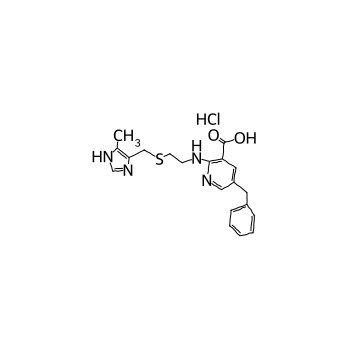 Cc1[nH]cnc1CSCCNc1ncc(Cc2ccccc2)cc1C(=O)O.Cl